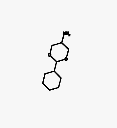 NC1COC(C2CCCCC2)OC1